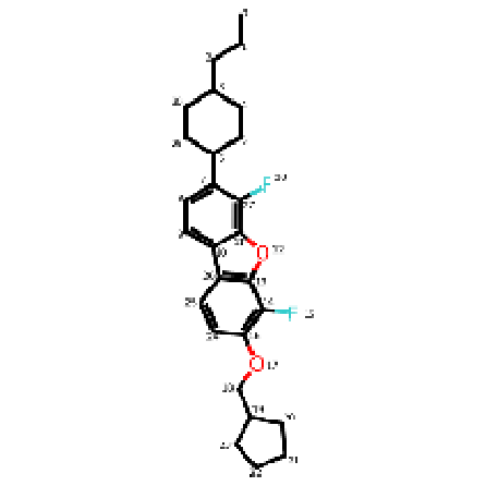 CCCC1CCC(c2ccc3c(oc4c(F)c(OCC5CCCC5)ccc43)c2F)CC1